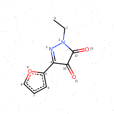 CCN1N=C(c2ccco2)C(=O)C1=O